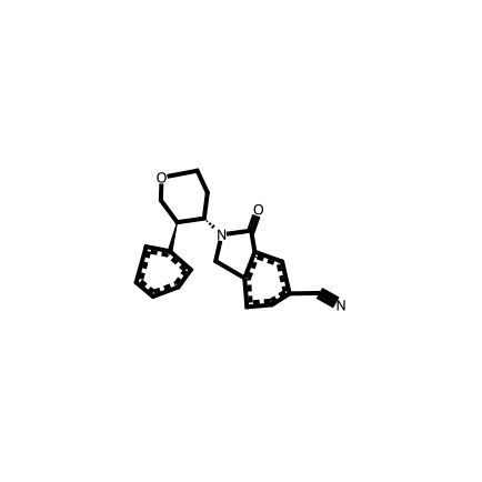 N#Cc1ccc2c(c1)C(=O)N([C@H]1CCOC[C@@H]1c1ccccc1)C2